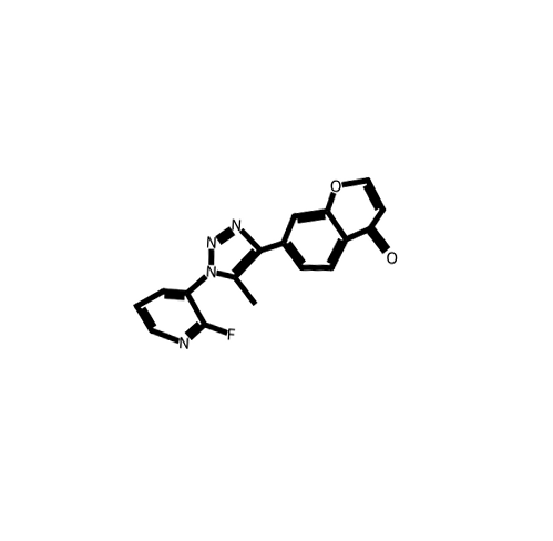 Cc1c(-c2ccc3c(=O)ccoc3c2)nnn1-c1cccnc1F